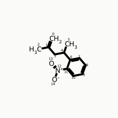 C=C(C)CC(C)c1ccccc1[N+](=O)[O-]